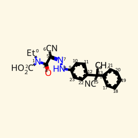 CCN(C(=O)O)C(=O)/C(C#N)=N\Nc1ccc(C(C)(C#N)c2ccccc2)cc1